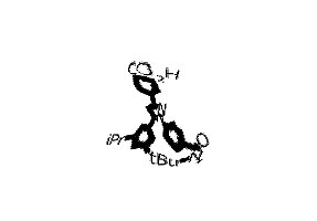 CC(C)c1cc(-c2cc(-c3ccc(C(=O)O)cc3)nn2-c2ccc(C(=O)N(C)C)cc2)cc(C(C)(C)C)c1